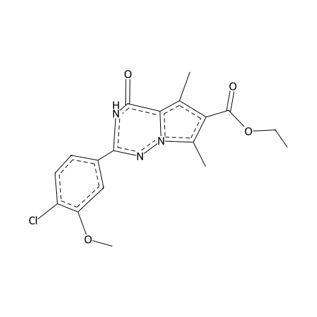 CCOC(=O)c1c(C)c2c(=O)[nH]c(-c3ccc(Cl)c(OC)c3)nn2c1C